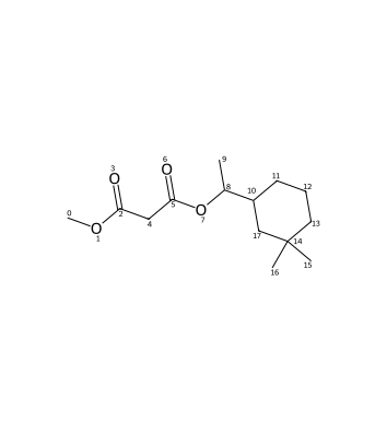 COC(=O)CC(=O)OC(C)C1CCCC(C)(C)C1